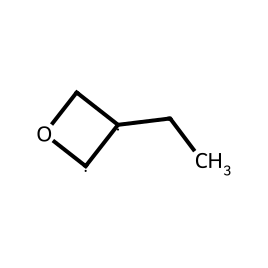 CC[C]1[CH]OC1